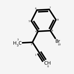 C#CC(C)c1ccccc1Br